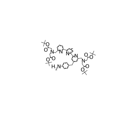 CC(C)(C)OC(=O)CN(CC(=O)OC(C)(C)C)Cc1cccc(-c2csc(-c3cc(Cc4ccc(N)cc4)cc(CN(CC(=O)OC(C)(C)C)CC(=O)OC(C)(C)C)n3)n2)n1